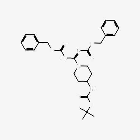 CC(C)(C)OC(=O)NC1CCN(/C(=N\C(=O)OCc2ccccc2)NC(=O)OCc2ccccc2)CC1